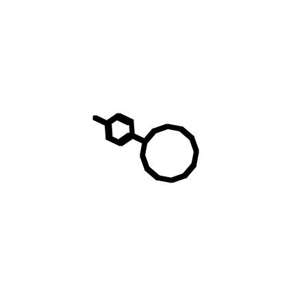 Cc1ccc(C2CCCCCCCCCCC2)cc1